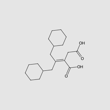 O=C(O)CC(C(=O)O)=C(CC1CCCCC1)CC1CCCCC1